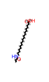 C=CC(=O)NCCCCCCCCCCCCCCCCCCCC(=O)O